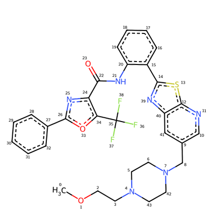 COCCN1CCN(Cc2cnc3sc(-c4ccccc4NC(=O)c4nc(-c5ccccc5)oc4C(F)(F)F)nc3c2)CC1